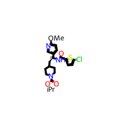 COc1ccc([C@H](CC2CCN(C(=O)OC(C)C)CC2)NC(=O)c2ccc(Cl)s2)cn1